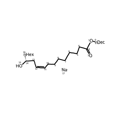 CCCCCCCCCCOC(=O)CCCCCCC/C=C\C[C@H](O)CCCCCC.[Na]